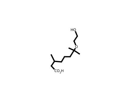 CC(CCCC(C)(C)OCCO)CC(=O)O